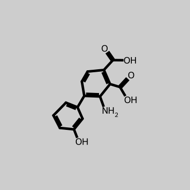 Nc1c(-c2cccc(O)c2)ccc(C(=O)O)c1C(=O)O